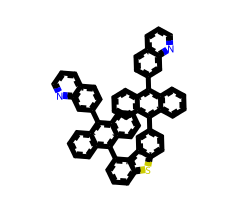 c1cnc2cc(-c3c4ccccc4c(-c4ccc5sc6cccc(-c7c8ccccc8c(-c8ccc9cccnc9c8)c8ccccc78)c6c5c4)c4ccccc34)ccc2c1